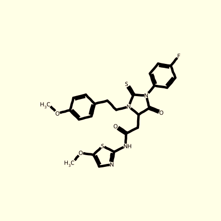 COc1ccc(CCN2C(=S)N(c3ccc(F)cc3)C(=O)C2CC(=O)Nc2ncc(OC)s2)cc1